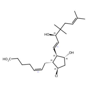 CC(C)=CCC(C)(C)[C@H](O)/C=C/[C@@H]1[C@@H](C/C=C\CCCC(=O)O)[C@H](Cl)C[C@H]1O